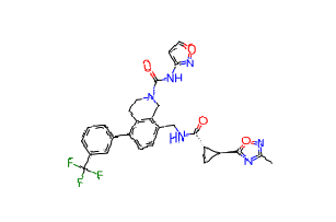 Cc1noc([C@H]2C[C@@H]2C(=O)NCc2ccc(-c3cccc(C(F)(F)F)c3)c3c2CN(C(=O)Nc2ccon2)CC3)n1